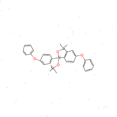 C[Si](C)(C)O[Si](O[Si](C)(C)C)(c1ccc(Oc2ccccc2)cc1)c1ccc(Oc2ccccc2)cc1